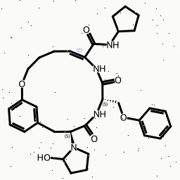 O=C(NC1CCCC1)/C1=C/CCCOc2cccc(c2)C[C@H](N2CCCC2O)C(=O)N[C@@H](COc2ccccc2)C(=O)N1